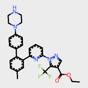 CCOC(=O)c1cnn(-c2cccc(-c3cc(C)ccc3-c3ccc(N4CCNCC4)cc3)n2)c1C(F)(F)F